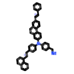 N=Cc1ccc(N(c2ccc(/C=C/c3cccc4ccccc34)cc2)c2ccc3c(ccc4cc(/C=C/c5ccccc5)ccc43)c2)cc1